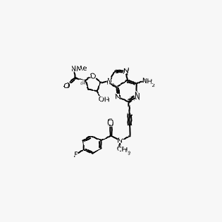 CNC(=O)[C@@H]1CC(O)C(n2cnc3c(N)nc(C#CCN(C)C(=O)c4ccc(F)cc4)nc32)O1